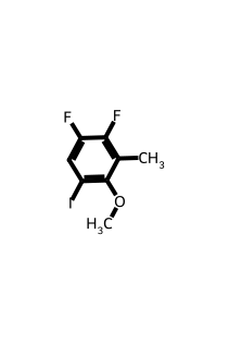 COc1c(I)cc(F)c(F)c1C